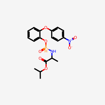 CC(C)OC(=O)C(C)N[P@@H](=O)Oc1ccccc1Oc1ccc([N+](=O)[O-])cc1